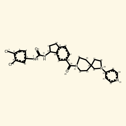 O=C(Nc1ccc(Cl)c(Cl)c1)NC1CCc2ccc(C(=O)N3CCC4(CC3)CCN(c3ccncc3)C4)cc21